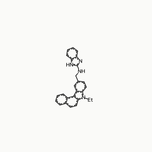 CCn1c2ccc(CNc3nc4ccccc4[nH]3)cc2c2c3ccccc3ccc21